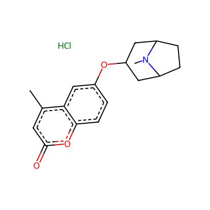 Cc1cc(=O)oc2ccc(OC3CC4CCC(C3)N4C)cc12.Cl